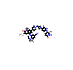 Cc1cc2c(N3CCN(C)c4ccc(C#N)cc43)cc(C3CCN(CC4CN(c5ccc(NC6CCC(=O)NC6=O)cc5F)C4)CC3)cc2n(C)c1=O